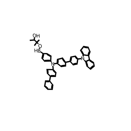 CC(O)C(C)(C)OBc1ccc(N(c2ccc(-c3ccccc3)cc2)c2ccc(-c3ccc(-n4c5ccccc5c5ccccc54)cc3)cc2)cc1